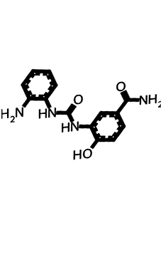 NC(=O)c1ccc(O)c(NC(=O)Nc2ccccc2N)c1